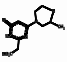 CC1CN(c2cc(=O)[nH]c(CC(=O)O)n2)CCO1